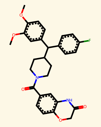 COc1ccc(C(c2ccc(F)cc2)C2CCN(C(=O)c3ccc4c(c3)NC(=O)CO4)CC2)cc1OC